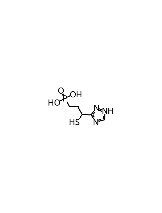 O=P(O)(O)CCC(S)c1nc[nH]n1